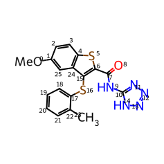 COc1ccc2sc(C(=O)Nc3nnn[nH]3)c(Sc3ccccc3C)c2c1